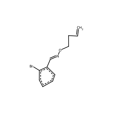 C=CCCON=[C]c1ccccc1Br